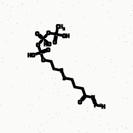 [3H]/P=N/C(=O)CCCSSCCOP(=O)(O)OP(=O)(O)OP(C)(=O)O